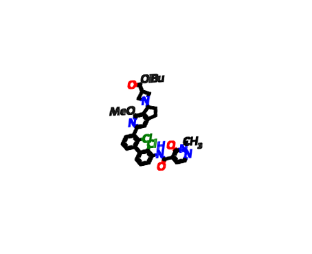 COc1nc(-c2cccc(-c3cccc(NC(=O)c4ccnn(C)c4=O)c3Cl)c2Cl)cc2c1C(N1CC(C(=O)OCC(C)C)C1)CC2